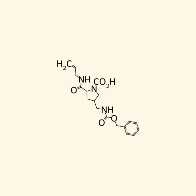 C=CCNC(=O)C1CC(CNC(=O)OCc2ccccc2)CN1C(=O)O